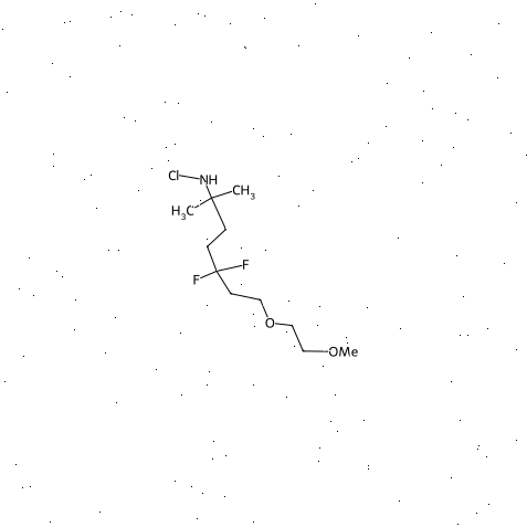 COCCOCCC(F)(F)CCC(C)(C)NCl